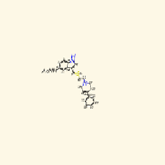 CC(=O)Nc1ccc2[nH]cc(CSCCN3CC=C(c4ccccc4)CC3)c2c1